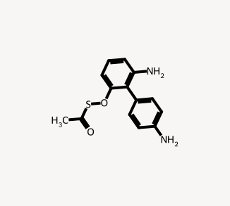 CC(=O)SOc1cccc(N)c1-c1ccc(N)cc1